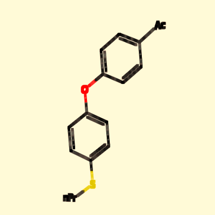 CCCSc1ccc(Oc2ccc(C(C)=O)cc2)cc1